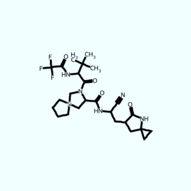 CC(C)(C)C(NC(=O)C(F)(F)F)C(=O)N1C[Si]2(CCCC2)CC1C(=O)NC(C#N)CC1CC2(CC2)NC1=O